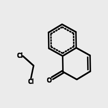 ClCCl.O=C1CC=Cc2ccccc21